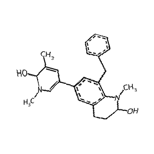 CC1=CC(c2cc3c(c(Cc4ccccc4)c2)N(C)C(O)CC3)=CN(C)C1O